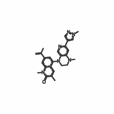 C=C(C)c1cc(N2CCN(C)c3cc(-c4cnn(C)c4)ncc32)c2cc(C)c(=O)n(C)c2c1